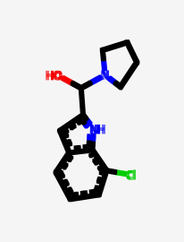 OC(c1cc2cccc(Cl)c2[nH]1)N1CCCC1